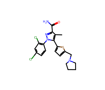 Cc1c(C(N)=O)nn(-c2ccc(Cl)cc2Cl)c1-c1ccc(CN2CCCC2)s1